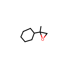 CC1(C2CCCCC2)CO1